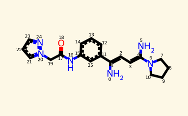 N/C(=C\C=C(/N)N1CCCC1)c1cccc(NC(=O)Cn2cccn2)c1